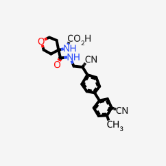 Cc1ccc(-c2ccc(C(C#N)CNC(=O)C3(NC(=O)O)CCOCC3)cc2)cc1C#N